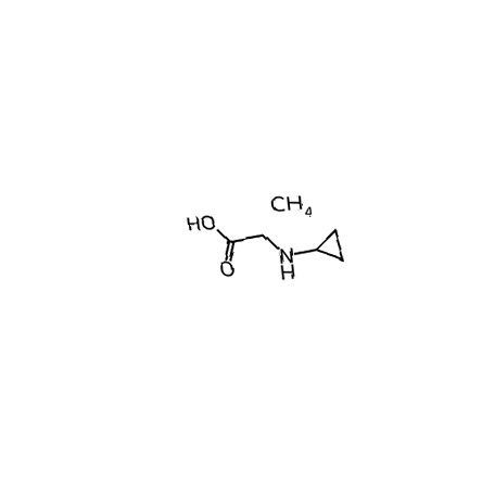 C.O=C(O)CNC1CC1